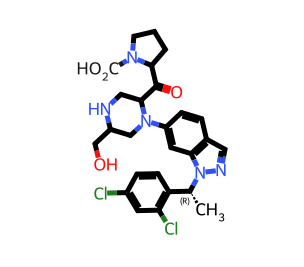 C[C@H](c1ccc(Cl)cc1Cl)n1ncc2ccc(N3CC(CO)NCC3C(=O)C3CCCN3C(=O)O)cc21